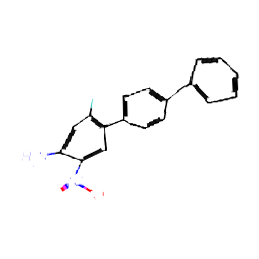 Nc1cc(F)c(-c2ccc(-c3ccccc3)cc2)cc1[N+](=O)[O-]